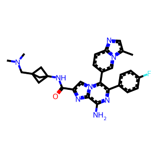 Cc1cnc2ccc(-c3c(-c4ccc(F)cc4)nc(N)c4nc(C(=O)NC56CC(CN(C)C)(C5)C6)cn34)cn12